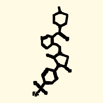 CN1CCN(C(=O)c2cnccc2CN2CC(=O)N(c3ccc(S(=O)(=O)C(F)(F)F)cc3)C2=O)CC1